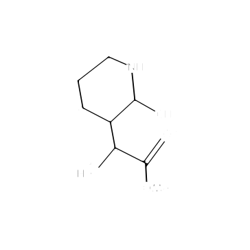 COC(=O)C(C)C1CCCNC1C